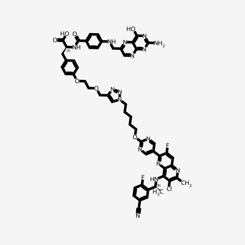 Cc1nc2cc(F)c(-c3cnc(OCCCCCn4cc(COCCOc5ccc(C[C@H](NC(=O)c6ccc(NCc7cnc8nc(N)nc(O)c8n7)cc6)C(=O)O)cc5)nn4)nc3)nc2c(N[C@H](C)c2cc(C#N)ccc2F)c1Cl